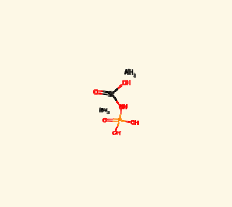 B.O=P(O)(O)O.O=[Si](O)O.[AlH3]